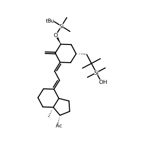 C=C1/C(=C/C=C2\CCC[C@@]3(C)C2CC[C@@H]3C(C)=O)C[C@@H](CC(C)(C)[Si](C)(C)O)C[C@@H]1O[Si](C)(C)C(C)(C)C